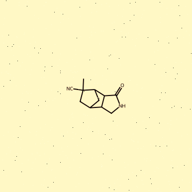 CC1(C#N)CC2CC1C1C(=O)NCC21